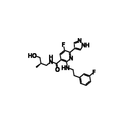 C[C@@H](CO)CNC(=O)c1cc(F)c(-c2cn[nH]c2)nc1NCCc1cccc(F)c1